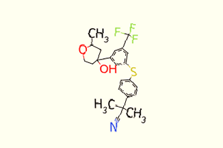 CC1CC(O)(c2cc(Sc3ccc(C(C)(C)C#N)cc3)cc(C(F)(F)F)c2)CCO1